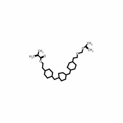 C=C(C)OCOCCC1CCC(CC2CCC(CC3CCC(CCOC(=O)C(=C)C)CC3)CC2)CC1